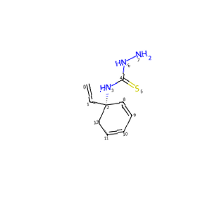 C=C[C@@]1(NC(=S)NN)C=CC=CC1